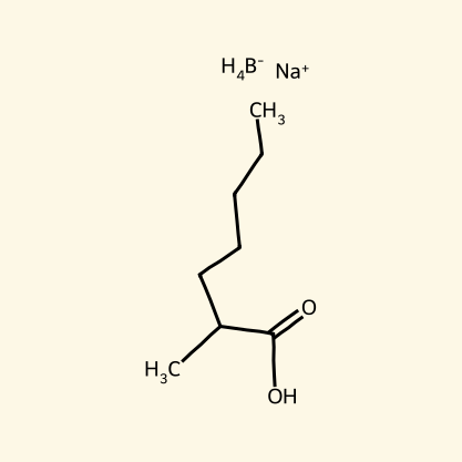 CCCCCC(C)C(=O)O.[BH4-].[Na+]